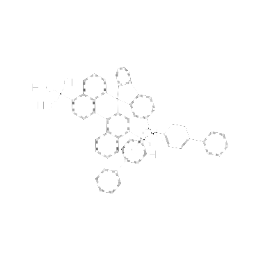 CC(C)(C)c1cc2c(c3ccccc13)-c1ccc(C(C)(C)C)c3cccc(c13)C21c2ccccc2-c2ccc(N(C3=CC=C(c4ccccc4)CC3)c3ccc(-c4ccccc4)cc3)cc21